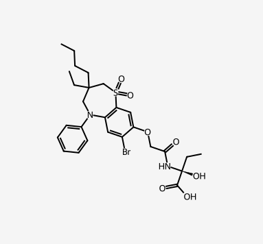 CCCCC1(CC)CN(c2ccccc2)c2cc(Br)c(OCC(=O)N[C@](O)(CC)C(=O)O)cc2S(=O)(=O)C1